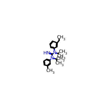 CCc1cccc(N(C(=N)N(c2cccc(C)c2)C(C)C)C(C)C)c1